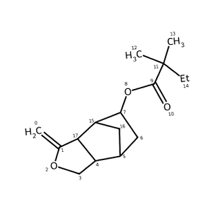 C=C1OCC2C3CC(OC(=O)C(C)(C)CC)C(C3)C12